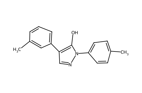 Cc1ccc(-n2ncc(-c3cccc(C)c3)c2O)cc1